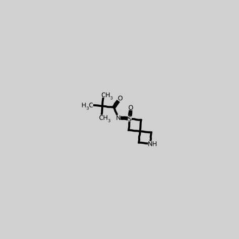 CC(C)(C)C(=O)N=S1(=O)CC2(CNC2)C1